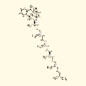 CC(C)=CCC/C(C)=C/CC/C(C)=C/CC/C(C)=C/CC/C(C)=C/CC/C(C)=C/CC12C(=O)c3ccccc3C(=O)C1(C)C1C=CC2C1